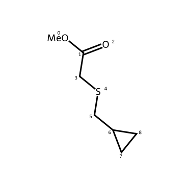 COC(=O)CSCC1CC1